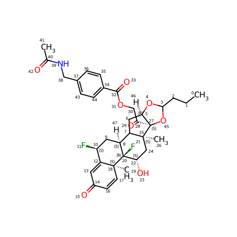 CCCC1O[C@@H]2CC3[C@@H]4C[C@H](F)C5=CC(=O)C=C[C@]5(C)[C@@]4(F)[C@@H](O)C[C@]3(C)[C@]2(C(=O)COC(=O)c2ccc(CNC(C)=O)cc2)O1